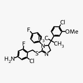 COc1cc(C(C)(C)C2CN=C(SCc3c(F)cc(N)cc3Cl)N2c2ccc(F)cc2)ccc1Cl